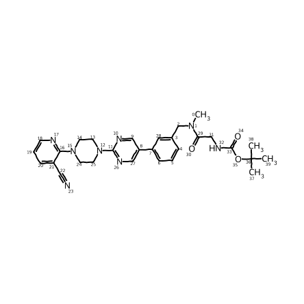 CN(Cc1cccc(-c2cnc(N3CCN(c4ncccc4C#N)CC3)nc2)c1)C(=O)CNC(=O)OC(C)(C)C